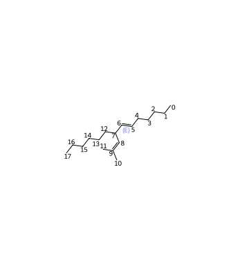 CCCCC/C=C/C(C=C(C)C)CCCCCC